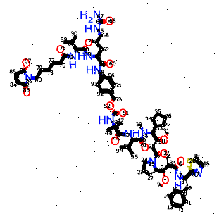 CO[C@H]([C@@H](C)C(=O)N[C@@H](Cc1ccccc1)c1nccs1)[C@@H]1CCCN1C(=O)C[C@@H](OC)[C@H](C1CCCC1)N(C)C(=O)[C@@H](NC(=O)C(C)(C)NC(=O)OCc1ccc(NC(=O)C(CCCNC(N)=O)NC(=O)[C@@H](NC(=O)CCCCCN2C(=O)C=CC2=O)C(C)C)cc1)C(C)C